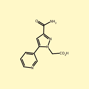 NC(=O)c1cc(-c2cccnc2)n(CC(=O)O)n1